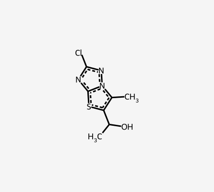 Cc1c(C(C)O)sc2nc(Cl)nn12